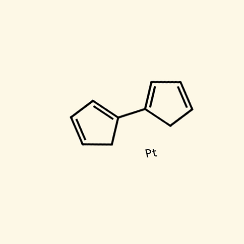 C1=CCC(C2=CC=CC2)=C1.[Pt]